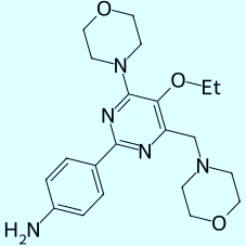 CCOc1c(CN2CCOCC2)nc(-c2ccc(N)cc2)nc1N1CCOCC1